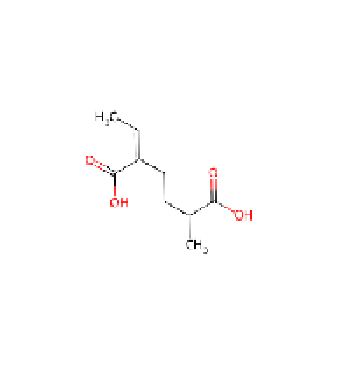 CC=C(CCC(C)C(=O)O)C(=O)O